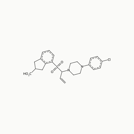 C=CC(N1CCN(c2ccc(Cl)cc2)CC1)S(=O)(=O)c1cccc2c1CC(C(=O)O)C2